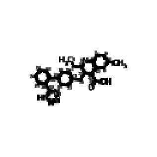 CCc1nc2ccc(C)cc2c(C(=O)O)c1Cc1ccc(-c2ccccc2-c2nnn[nH]2)cc1